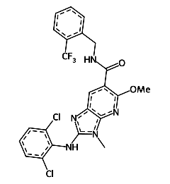 COc1nc2c(cc1C(=O)NCc1ccccc1C(F)(F)F)nc(Nc1c(Cl)cccc1Cl)n2C